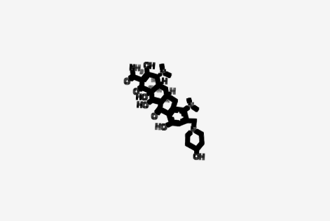 CN(C)c1c(CN2CCC(O)CC2)cc(O)c2c1C[C@H]1C[C@H]3[C@H](N(C)C)C(O)=C(C(N)=O)C(=O)[C@@]3(O)C(O)=C1C2=O